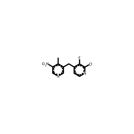 Cc1c(Cc2ccnc(Cl)c2F)cncc1[N+](=O)[O-]